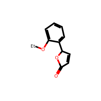 CCOc1ccccc1C1C=CC(=O)O1